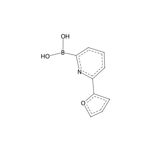 OB(O)c1cccc(-c2ccco2)n1